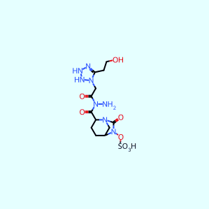 NN(C(=O)CN1NNN=C1CCO)C(=O)C1CCC2CN1C(=O)N2OS(=O)(=O)O